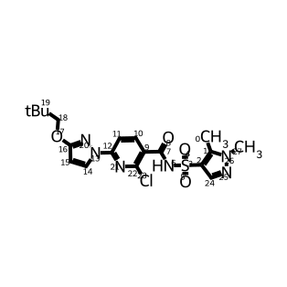 Cc1c(S(=O)(=O)NC(=O)c2ccc(-n3ccc(OCC(C)(C)C)n3)nc2Cl)cnn1C